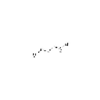 BOCONCC